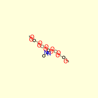 C=CC(=O)Cc1ccc(CCC(=O)O[C@H]2CC[C@H](C(=O)Oc3ccc(OC(=O)[C@H]4CC[C@H](OC(=O)CCc5ccc(OC(=O)C=C)cc5)CC4)c4nc(-c5ccccc5)c(C)nc34)CC2)cc1